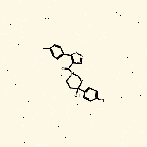 Cc1ccc(-c2oncc2C(=O)N2CCC(O)(c3ccc(Cl)cc3)CC2)cc1